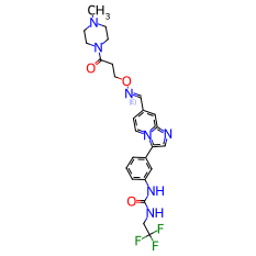 CN1CCN(C(=O)CCO/N=C/c2ccn3c(-c4cccc(NC(=O)NCC(F)(F)F)c4)cnc3c2)CC1